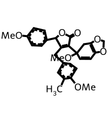 COc1ccc(C2OC(=O)C(C3(OC)C=CC4=C(C3)OCO4)=C2Cc2ccc(OC)c(C)c2)cc1